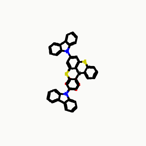 c1ccc2c(c1)Sc1cc(-n3c4ccccc4c4ccccc43)cc3c1[Si]2(c1ccc(-n2c4ccccc4c4ccccc42)cc1)c1ccccc1S3